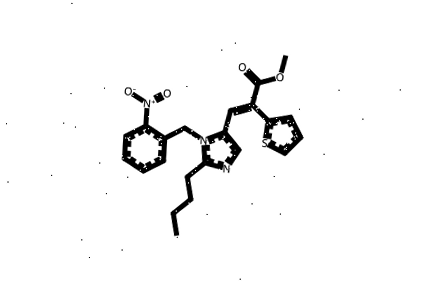 CCCCc1ncc(C=C(C(=O)OC)c2cccs2)n1Cc1ccccc1[N+](=O)[O-]